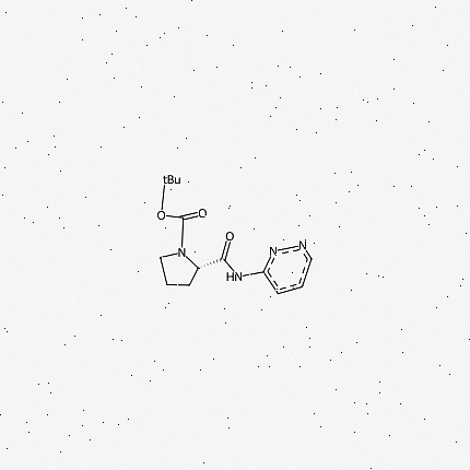 CC(C)(C)OC(=O)N1CCC[C@H]1C(=O)Nc1cccnn1